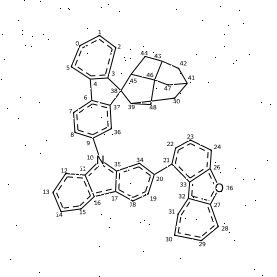 c1ccc2c(c1)-c1ccc(-n3c4ccccc4c4ccc(-c5cccc6oc7ccccc7c56)cc43)cc1C21C2CC3CC4CC1C4(C3)C2